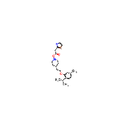 Cc1ccc(C(C)C)c(OCCC2CCN(OC(=O)Cc3nccs3)CC2)c1